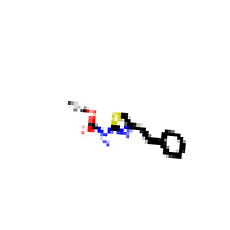 CC(C)(C)OC(=O)Nc1nc(C=CC2=CCCCC2)cs1